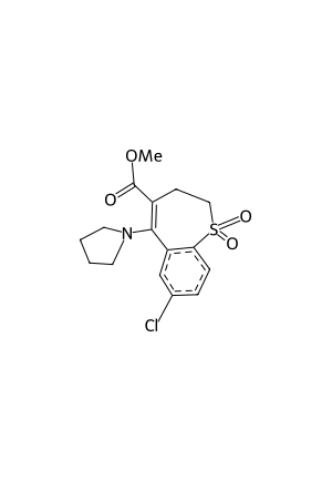 COC(=O)C1=C(N2CCCC2)c2cc(Cl)ccc2S(=O)(=O)CC1